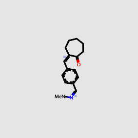 CN/N=C\c1ccc(/C=C2/CCCCCC2=O)cc1